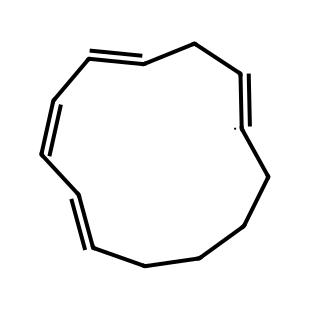 [C]1=C/C/C=C/C=C\C=C\CCCC/1